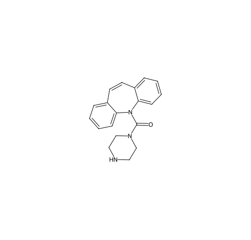 O=C(N1CCNCC1)N1c2ccccc2C=Cc2ccccc21